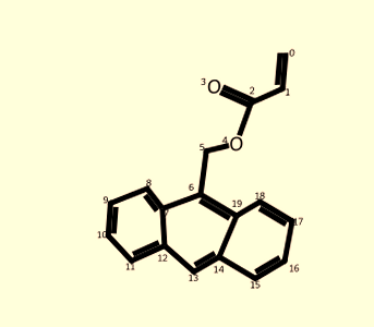 C=CC(=O)OCc1c2ccccc2cc2ccccc12